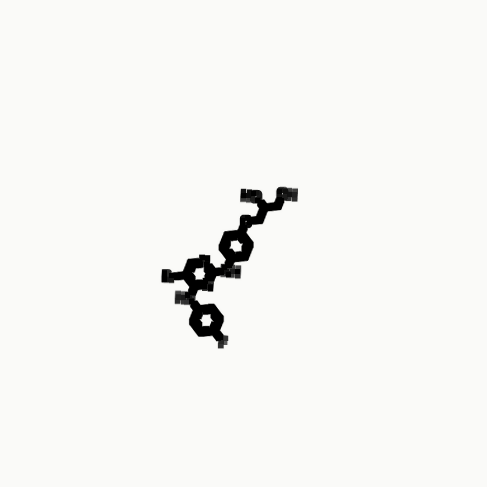 OCC(O)COc1ccc(Nc2ncc(Br)c(Nc3ccc(F)cc3)n2)cc1